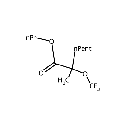 CCCCCC(C)(OC(F)(F)F)C(=O)OCCC